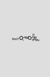 COc1ccc(NCc2ccc(NS(=O)(=O)C(C)(C)C)cc2)c(C)c1